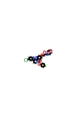 O=C(Oc1ccc(F)cc1)N1CCc2c([nH]c3ccc(Cl)cc23)C1c1ccc(OCC(O)CN2CCOCC2)cc1